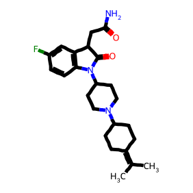 CC(C)=C1CCC(N2CCC(N3C(=O)C(CC(N)=O)c4cc(F)ccc43)CC2)CC1